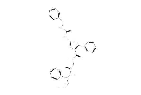 O=C(O)CC(NC(=O)CNC(=O)c1nc(NC(=O)NCc2ccccc2)sc1-c1ccccc1)c1ccccc1